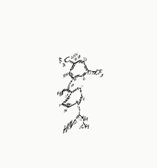 N=C(NO)c1ccc(Nc2cc(C(F)(F)F)cc(C(F)(F)F)c2)cc1